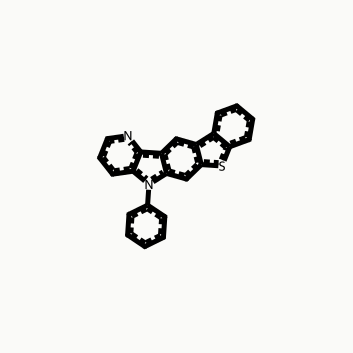 c1ccc(-n2c3cc4sc5ccccc5c4cc3c3ncccc32)cc1